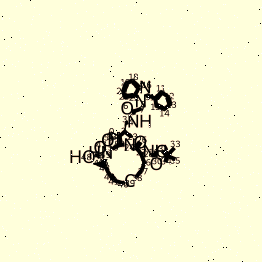 C[C@H]1[C@@H](CNC(=O)Cn2c(-c3ccccc3)nc3ccccc32)CN2C(=O)[C@@H](NC(=O)OC(C)(C)C)CCCCC/C=C\C3C[C@@]3(C(=O)O)NC(=O)[C@H]12